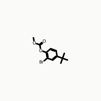 COC(=O)Oc1ccc(C(C)(C)C)cc1Br